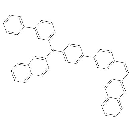 C(=C/c1ccc2ccccc2c1)/c1ccc(-c2ccc(N(c3cccc(-c4ccccc4)c3)c3ccc4ccccc4c3)cc2)cc1